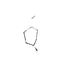 CCCCC[C@H]1CC[C@H](C[S])CC1